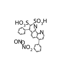 O=NO[N+](=O)[O-].O=S(=O)(O)c1nc2c(ccc3c(-c4ccccc4)ccnc32)c(-c2ccccc2)c1S(=O)(=O)O